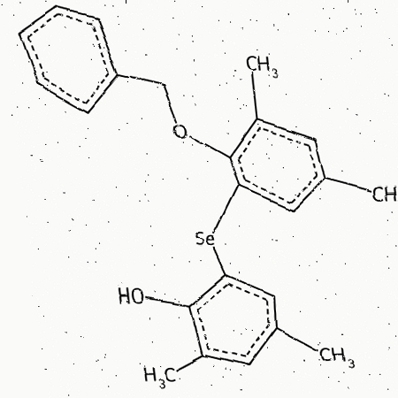 Cc1cc(C)c(O)c([Se]c2cc(C)cc(C)c2OCc2ccccc2)c1